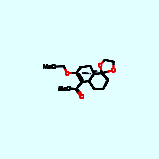 COCOC1=C(C(=O)OC)C2CCCC3(OCCO3)[C@]2(C)CC1